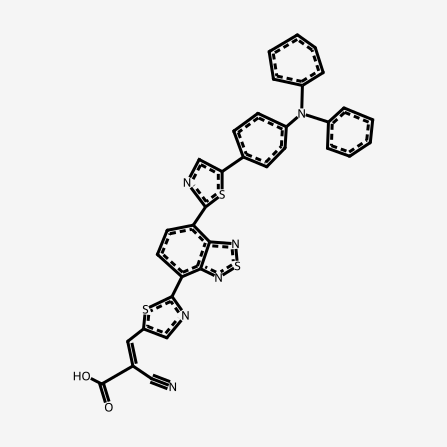 N#C/C(=C\c1cnc(-c2ccc(-c3ncc(-c4ccc(N(c5ccccc5)c5ccccc5)cc4)s3)c3nsnc23)s1)C(=O)O